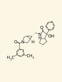 Cc1cc(C)cc(C(=O)N2CC3[C@H](CNC(=O)C(O)(c4ccccc4)C4CCCC4)[C@H]3C2)c1